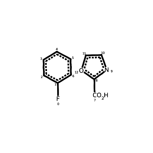 Fc1ccccc1.O=C(O)c1ncco1